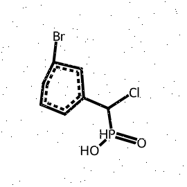 O=[PH](O)C(Cl)c1cccc(Br)c1